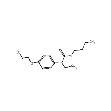 CCCCOC(=O)C(CN)c1ccc(OCCBr)cc1